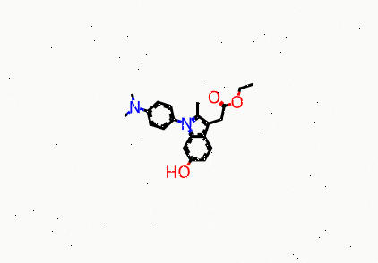 CCOC(=O)Cc1c(C)n(-c2ccc(N(C)C)cc2)c2cc(O)ccc12